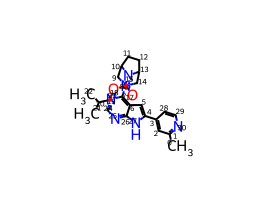 Cc1cc(-c2cc3c(N4CC5CCC(C4)N5C(=O)OCC(C)C)ncnc3[nH]2)ccn1